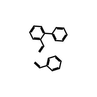 C=Cc1ccccc1.C=Cc1ccccc1-c1ccccc1